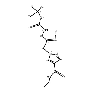 CCNC(=O)c1cnn(CC(=CF)CNC(=O)OC(C)(C)C)c1